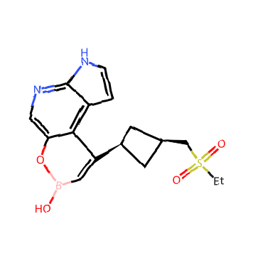 CCS(=O)(=O)C[C@H]1C[C@@H](C2=CB(O)Oc3cnc4[nH]ccc4c32)C1